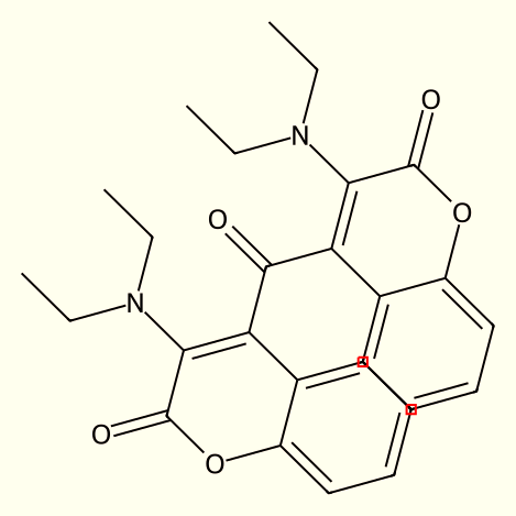 CCN(CC)c1c(C(=O)c2c(N(CC)CC)c(=O)oc3ccccc23)c2ccccc2oc1=O